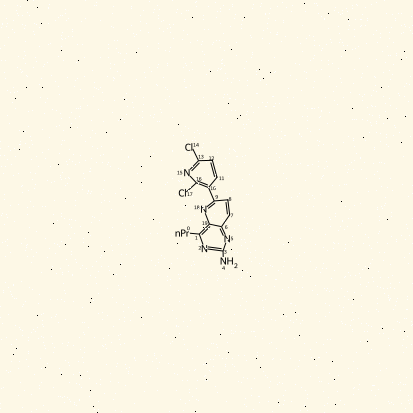 CCCc1nc(N)nc2ccc(-c3ccc(Cl)nc3Cl)nc12